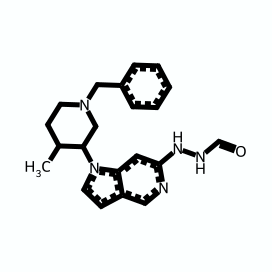 CC1CCN(Cc2ccccc2)CC1n1ccc2cnc(NNC=O)cc21